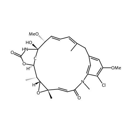 COc1cc2cc(c1Cl)N(C)C(=O)/C=C/[C@]1(C)O[C@@H]1[C@H](C)[C@@H]1C[C@](O)(NC(=O)O1)[C@H](OC)/C=C/C=C(\C)C2